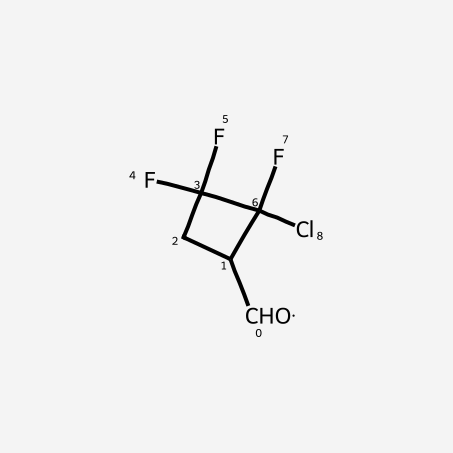 O=[C]C1CC(F)(F)C1(F)Cl